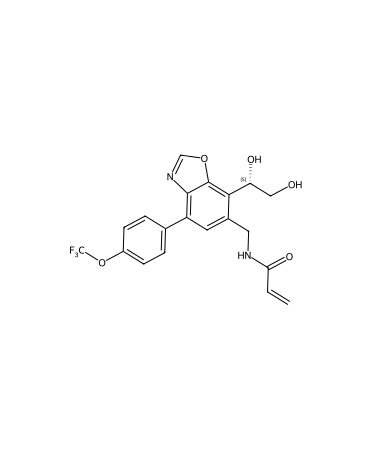 C=CC(=O)NCc1cc(-c2ccc(OC(F)(F)F)cc2)c2ncoc2c1[C@H](O)CO